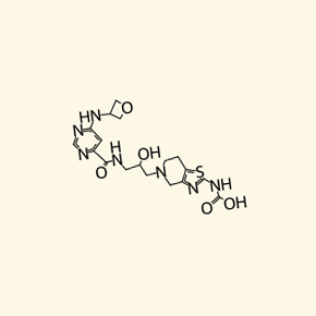 O=C(O)Nc1nc2c(s1)CCN(CC(O)CNC(=O)c1cc(NC3COC3)ncn1)C2